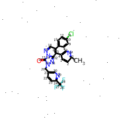 Cc1ccc(-c2c(-c3ccc(Cl)cc3)cnn3c(=O)n(Cc4ccc(C(F)(F)F)nc4)nc23)cn1